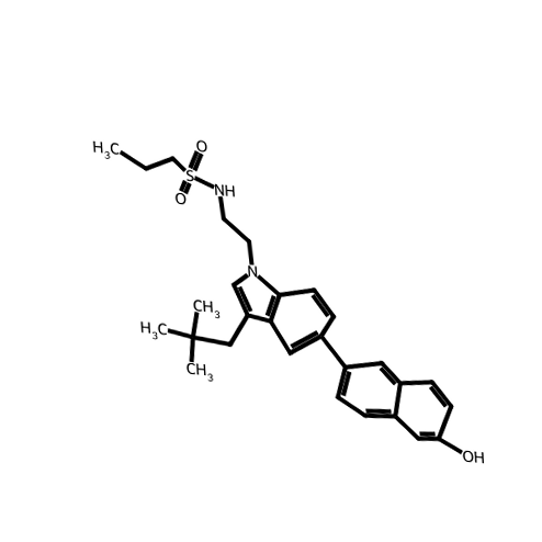 CCCS(=O)(=O)NCCn1cc(CC(C)(C)C)c2cc(-c3ccc4cc(O)ccc4c3)ccc21